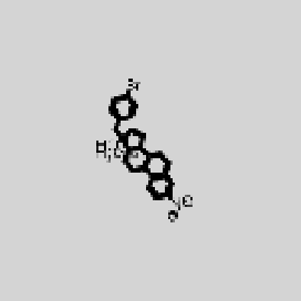 C[C@]12CCC3c4ccc([N+](=O)[O-])cc4CCC3C1CC[C@@]2(O)Cc1ccc(Br)cc1